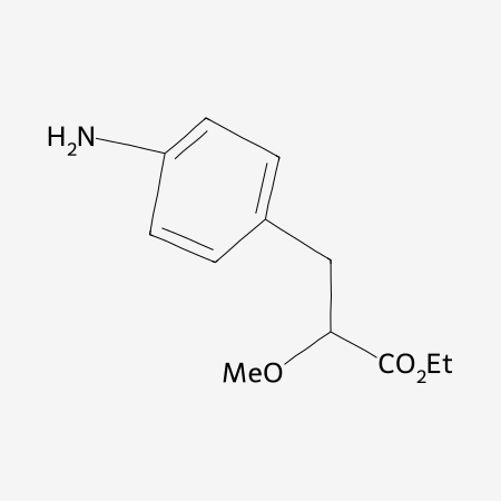 CCOC(=O)C(Cc1ccc(N)cc1)OC